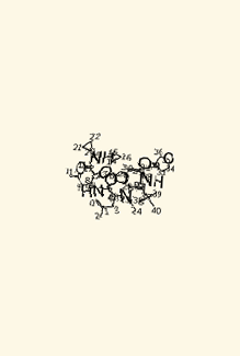 C=C(C)C[C@@H](C(=O)N[C@@H](CCC)C(OC1CC1)C(=O)NC1CC1)N(C)C(=O)[C@@H](NC(=C)O[C@H]1CCOC1)C(C)(C)C